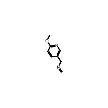 C=NCc1ccc(OC)nc1